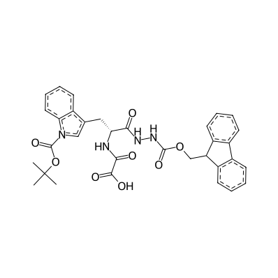 CC(C)(C)OC(=O)n1cc(C[C@@H](NC(=O)C(=O)O)C(=O)NNC(=O)OCC2c3ccccc3-c3ccccc32)c2ccccc21